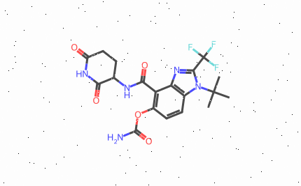 CC(C)(C)n1c(C(F)(F)F)nc2c(C(=O)NC3CCC(=O)NC3=O)c(OC(N)=O)ccc21